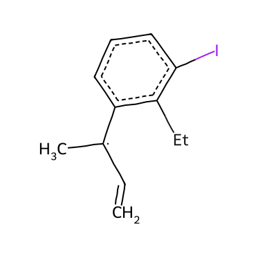 C=C[C](C)c1cccc(I)c1CC